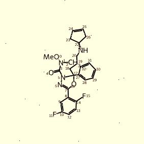 CON(C)C(=O)N1N=C(c2cc(F)ccc2F)OC1(CCCNC1CC=CC1)c1ccccc1